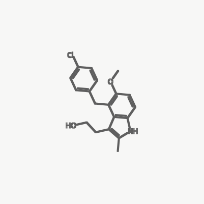 COc1ccc2[nH]c(C)c(CCO)c2c1Cc1ccc(Cl)cc1